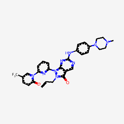 C=CCn1c(=O)c2cnc(Nc3ccc(N4CCN(C)CC4)cc3)nc2n1-c1cccc(-n2cc(C(F)(F)F)ccc2=O)n1